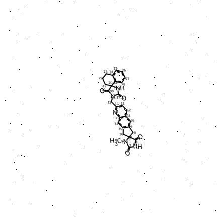 CN1C(=O)NC(=O)[C@]12Cc1cc3ccc(CN4C(=O)NC5(CCCc6ccccc65)C4=O)nc3cc1C2